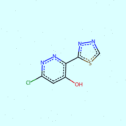 Oc1cc(Cl)nnc1-c1nncs1